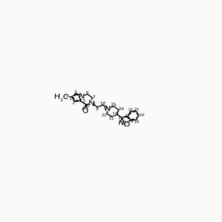 Cc1cc2n(c1)CCN(CCN1CCC(c3noc4ccccc34)CC1)C2=O